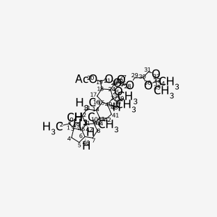 C=C(C)[C@@H]1CC[C@@H]2CC[C@]3(C)[C@H](CCC4[C@@]5(C)CC6C(OC(C)=O)OC(=O)[C@@]6(OC(=O)OCC6COC(C)(C)O6)C(C)(C)[C@@H]5CC[C@]43C)[C@H]21